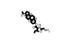 CCC(C)[C@@H](NC(=O)CN)C(=O)O[C@@H]1CC[C@@]2(C)[C@@H](CC[C@@H]3[C@@H]2CC[C@]2(C)[C@@H](C(C)=O)CC[C@@H]32)C1